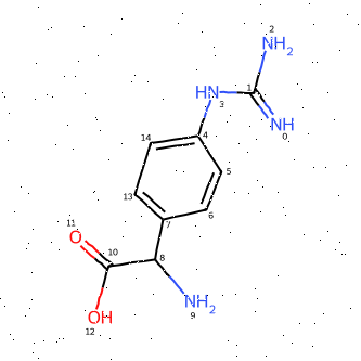 N=C(N)Nc1ccc(C(N)C(=O)O)cc1